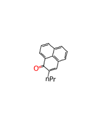 CCCC1=Cc2cccc3cccc(c23)C1=O